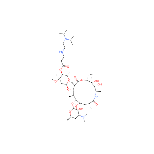 CC[C@H]1OC(=O)[C@H](C)[C@@H](O[C@H]2C[C@@](C)(OC)[C@@H](OC(=O)CCNCCN(C(C)C)C(C)C)[C@H](C)O2)[C@H](C)[C@@H](O[C@@H]2O[C@H](C)C[C@H](N(C)C)[C@H]2O)[C@](C)(OC)C[C@@H](C)C(=O)N[C@H](C)[C@@H](O)[C@]1(C)O